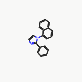 c1ccc(-c2nccn2-c2cccc3ccccc23)cc1